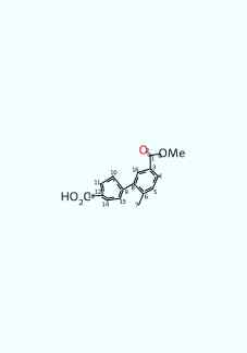 COC(=O)c1ccc(C)c(-c2ccc(C(=O)O)cc2)c1